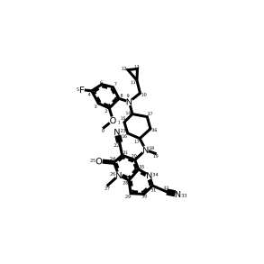 COc1cc(F)ccc1N(CC1CC1)C1CCC(N(C)c2c(C#N)c(=O)n(C)c3ccc(C#N)nc23)CC1